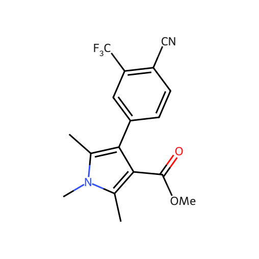 COC(=O)c1c(-c2ccc(C#N)c(C(F)(F)F)c2)c(C)n(C)c1C